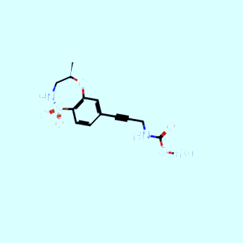 C[C@@H]1CNS(=O)(=O)c2ccc(C#CCNC(=O)OC(C)(C)C)cc2O1